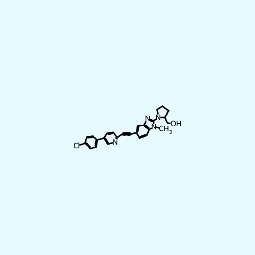 Cn1c(N2CCCC2CO)nc2cc(C#Cc3ccc(-c4ccc(Cl)cc4)cn3)ccc21